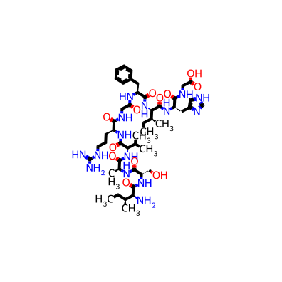 CC[C@H](C)[C@H](N)C(=O)N[C@@H](CO)C(=O)N[C@@H](C)C(=O)N[C@H](C(=O)N[C@@H](CCCNC(=N)N)C(=O)NCC(=O)N[C@@H](Cc1ccccc1)C(=O)N[C@H](C(=O)N[C@@H](Cc1c[nH]cn1)C(=O)NCC(=O)O)[C@@H](C)CC)C(C)C